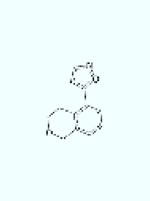 c1cc2c(c(-c3ccno3)c1)CCOC2